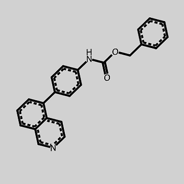 O=C(Nc1ccc(-c2cccc3cnccc23)cc1)OCc1ccccc1